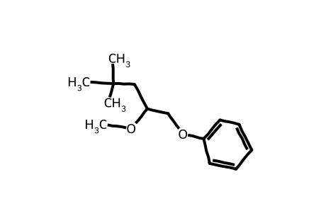 COC(COc1ccccc1)CC(C)(C)C